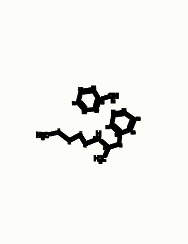 CCCCCNC(C)Cc1ccccc1.Oc1ccccc1